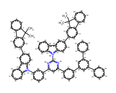 CC1(C)c2ccccc2-c2ccc(-c3ccc4c(c3)c3ccccc3n4-c3cccc(-c4cc(-c5cccc(-c6cc(-c7ccccc7)cc(-c7ccccc7)c6)c5)nc(-n5c6ccccc6c6cc(-c7ccc8c(c7)C(C)(C)c7ccccc7-8)ccc65)n4)c3)cc21